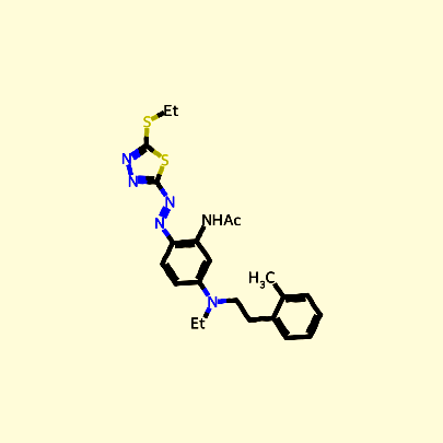 CCSc1nnc(N=Nc2ccc(N(CC)CCc3ccccc3C)cc2NC(C)=O)s1